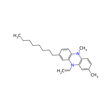 C=CN1c2cc(C)ccc2N(C)c2ccc(CCCCCCCC)cc21